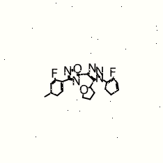 CC1C=C(F)C(c2noc(-c3nnn(C4=C(F)C=CCC4)c3C3CCCO3)n2)=CC1